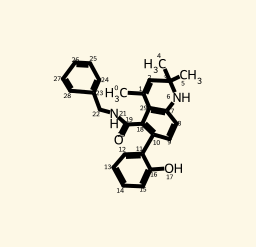 CC1=CC(C)(C)Nc2ccc(-c3ccccc3O)c(C(=O)NCc3ccccc3)c21